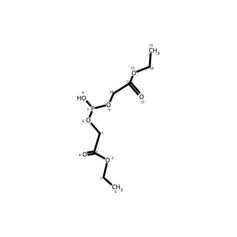 CCOC(=O)COP(O)OCC(=O)OCC